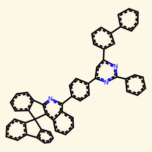 c1ccc(-c2cccc(-c3cc(-c4ccc(-c5nc6c(c7ccccc57)C5(c7ccccc7-c7ccccc75)c5ccccc5-6)cc4)nc(-c4ccccc4)n3)c2)cc1